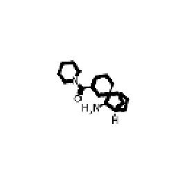 N[C@@H]1[C@@H]2CCC(C2)[C@]12CCC[C@H](C(=O)N1CCCCC1)C2